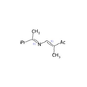 CC(=O)/C(C)=C/N=C(\C)C(C)C